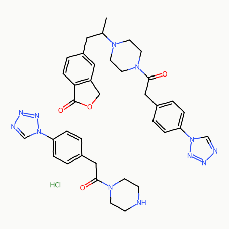 CC(Cc1ccc2c(c1)COC2=O)N1CCN(C(=O)Cc2ccc(-n3cnnn3)cc2)CC1.Cl.O=C(Cc1ccc(-n2cnnn2)cc1)N1CCNCC1